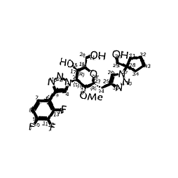 CO[C@@H]1[C@@H](n2cc(-c3ccc(F)c(F)c3F)nn2)[C@@H](O)[C@@H](CO)O[C@@H]1Cc1cn(C2(CO)CCCC2)nn1